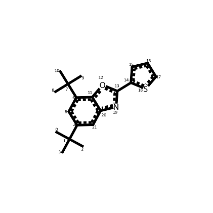 CC(C)(C)c1cc(C(C)(C)C)c2oc(-c3cccs3)nc2c1